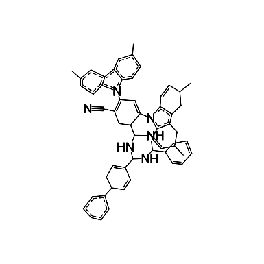 Cc1ccc2c(c1)c1cc(C)ccc1n2C1=C(C#N)CC(C2NC(C3=CCC(c4ccccc4)C=C3)NC(C3C=CC=CC3)N2)C(n2c3c(c4c2C=CC(C)C4)CC(C)C=C3)=C1